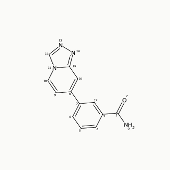 NC(=O)c1cccc(-c2ccn3cnnc3c2)c1